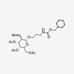 CC(=O)N[C@H]1[C@H](OCCCNC(=O)OCc2ccccc2)OC(COC(C)=O)[C@H](OC(C)=O)[C@@H]1OC(C)=O